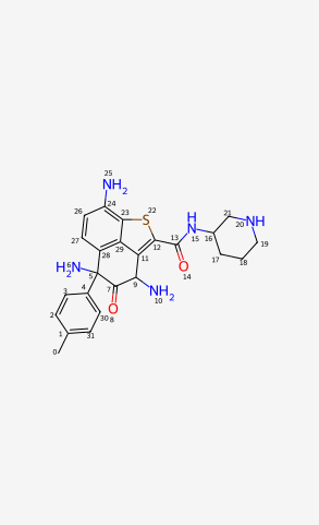 Cc1ccc(C2(N)C(=O)C(N)c3c(C(=O)NC4CCCNC4)sc4c(N)ccc2c34)cc1